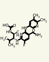 Cc1cc(Nc2nc(N[C@H](C(C)C)[C@H](C)NC(=O)O)c(F)cc2C(N)=O)cnc1C